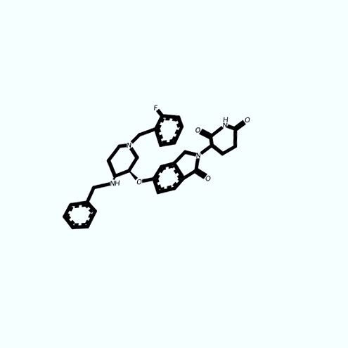 O=C1CCC(N2Cc3cc(O[C@@H]4CN(Cc5ccccc5F)CC[C@H]4NCc4ccccc4)ccc3C2=O)C(=O)N1